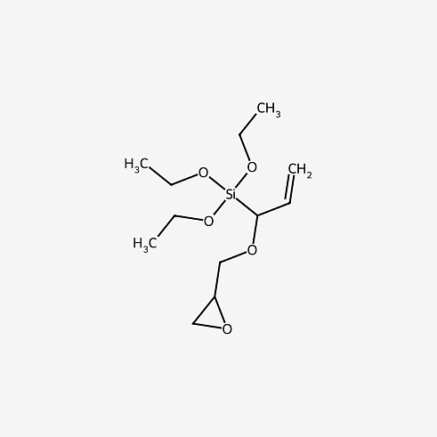 C=CC(OCC1CO1)[Si](OCC)(OCC)OCC